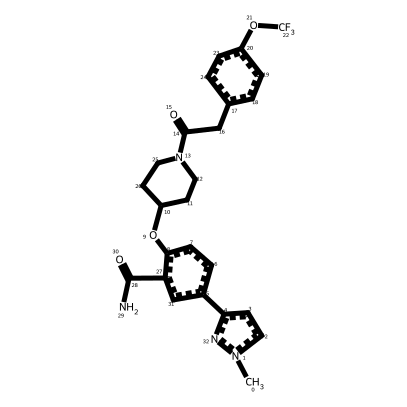 Cn1ccc(-c2ccc(OC3CCN(C(=O)Cc4ccc(OC(F)(F)F)cc4)CC3)c(C(N)=O)c2)n1